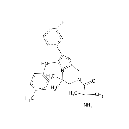 Cc1ccc(Nc2c(-c3cccc(F)c3)nc3n2C(C)(C)CN(C(=O)C(C)(C)N)C3)cc1